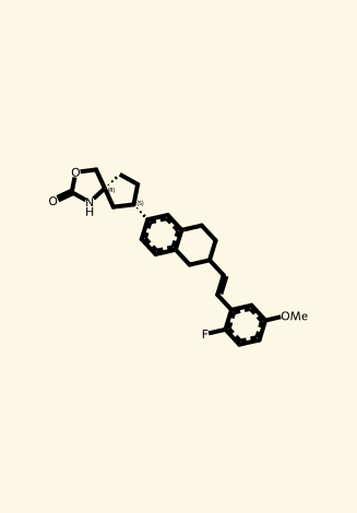 COc1ccc(F)c(C=CC2CCc3cc([C@H]4CC[C@]5(COC(=O)N5)C4)ccc3C2)c1